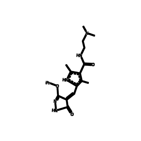 Cc1[nH]c(/C=C2/C(=O)NN=C2OC(C)C)c(C)c1C(=O)NCCN(C)C